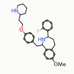 COc1ccc2c(c1)CCC(c1ccccc1F)NC2Cc1ccc(OCCC2CCCCN2)cc1